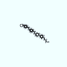 CCCCCc1ccc([C@H]2CC[C@H](CCc3ccc(CCc4ccc(Cl)cc4)cc3)CC2)cc1